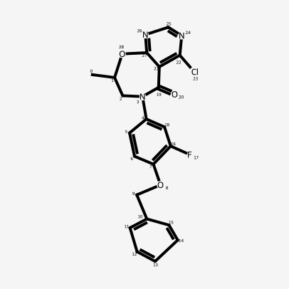 CC1CN(c2ccc(OCc3ccccc3)c(F)c2)C(=O)c2c(Cl)ncnc2O1